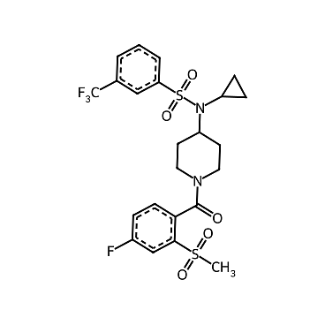 CS(=O)(=O)c1cc(F)ccc1C(=O)N1CCC(N(C2CC2)S(=O)(=O)c2cccc(C(F)(F)F)c2)CC1